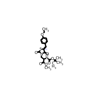 CCOc1ccc(/C=C2\SC(=O)N(CC(NC(=O)OC(C)(C)C)C(=O)OC)C2=O)cc1